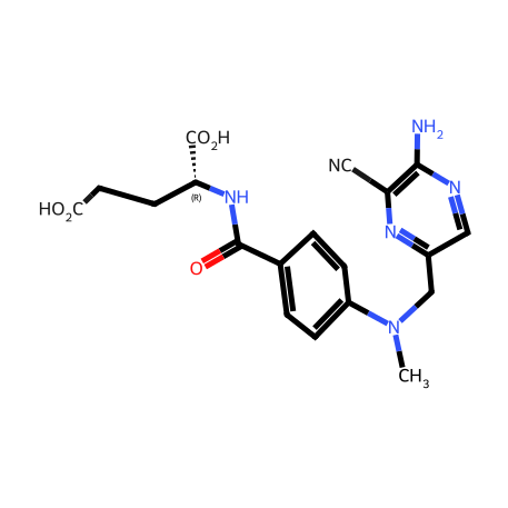 CN(Cc1cnc(N)c(C#N)n1)c1ccc(C(=O)N[C@H](CCC(=O)O)C(=O)O)cc1